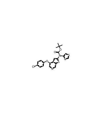 CC(C)(C)OC(=O)N(c1cscn1)c1cc2c(Oc3ccc(Cl)cc3)cncc2s1